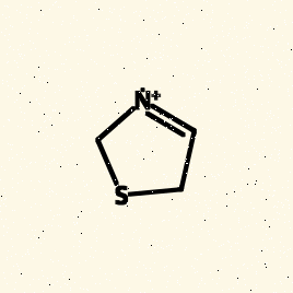 C1=[N+]CSC1